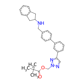 CC(C)(C)C(=O)OCn1ncc(-c2cccc(-c3ccc(CNC4Cc5ccccc5C4)cc3)c2)n1